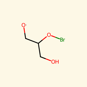 [O]CC(CO)OBr